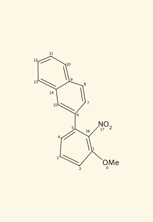 COc1cccc(-c2ccc3ccccc3c2)c1[N+](=O)[O-]